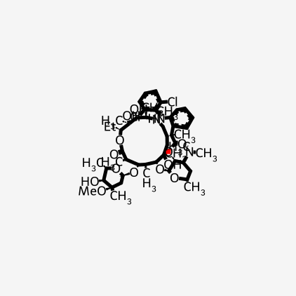 CC[C@H]1OC(=O)[C@H](C)[C@@H](O[C@H]2C[C@@](C)(OC)[C@@H](O)[C@H](C)O2)[C@H](C)[C@@H](O[C@@H]2O[C@H](C)CC(N(C)C)[C@H]2OC(=O)Cc2ccccc2Nc2c(Cl)cccc2Cl)[C@](C)(O)C[C@@H](C)CN(C)[C@H](C)[C@@H](O)[C@]1(C)O